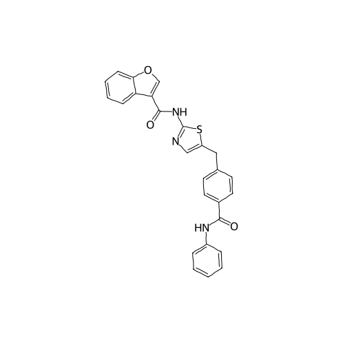 O=C(Nc1ccccc1)c1ccc(Cc2cnc(NC(=O)c3coc4ccccc34)s2)cc1